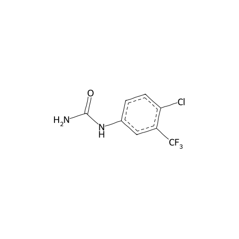 NC(=O)Nc1ccc(Cl)c(C(F)(F)F)c1